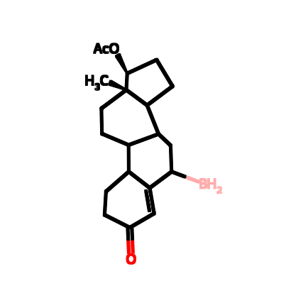 BC1CC2C(CC[C@@]3(C)C2CC[C@@H]3OC(C)=O)C2CCC(=O)C=C12